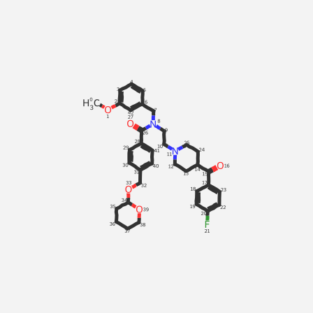 COc1cccc(CN(CCN2CCC(C(=O)c3ccc(F)cc3)CC2)C(=O)c2ccc(COC3CCCCO3)cc2)c1